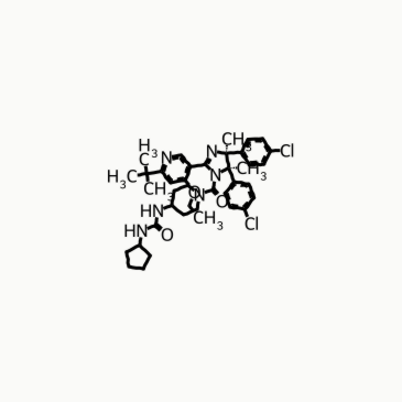 CCOc1cc(C(C)(C)C)ncc1C1=N[C@@](C)(c2ccc(Cl)cc2)[C@@](C)(c2ccc(Cl)cc2)N1C(=O)N1CCC(NC(=O)NC2CCCC2)CC1